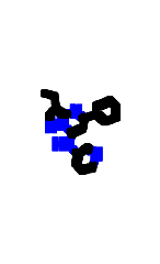 CCc1cnn2c(Nc3cccnc3)cc(-c3ccccc3)nc12